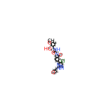 COc1cccc([C@@H](CO)NC(=O)CN2Cc3ccc(-c4nc(NCC5CCOC5)ncc4Cl)cc3C2=O)c1